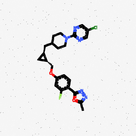 Cc1nnc(-c2ccc(OC[C@@H]3C[C@H]3CC3CCN(c4ncc(Cl)cn4)CC3)cc2F)o1